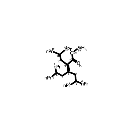 CCCC(CCC)CC(CC(CCC)CCC)=C(CC(CCC)CCC)C(=O)O[SiH3]